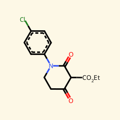 CCOC(=O)C1C(=O)CCN(c2ccc(Cl)cc2)C1=O